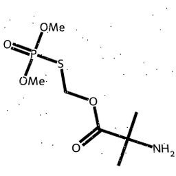 COP(=O)(OC)SCOC(=O)C(C)(C)N